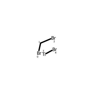 BrCBr.[Ti][Br]